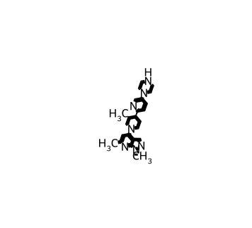 Cc1cc(N2CC[C@H](c3ccc(N4CCNCC4)cn3)[C@@H](C)C2)c2cnn(C)c2n1